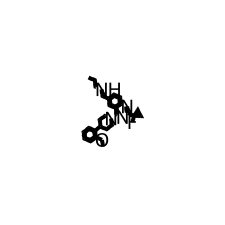 CCCNCc1ccc2nc(C3(F)CC3)nc(N3CCC(c4ccccc4OC)CC3)c2c1